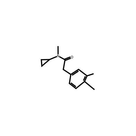 Cc1ccc(CC(=O)N(C)C2CC2)cc1C